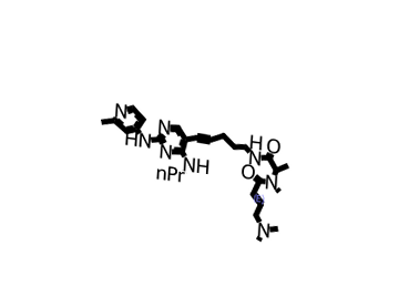 CCCNc1nc(Nc2ccnc(C)c2)ncc1C#CCCCNC(=O)C(C)N(C)C(=O)/C=C/CN(C)C